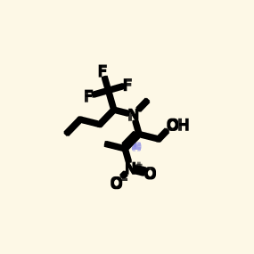 CCCC(N(C)/C(CO)=C(\C)[N+](=O)[O-])C(F)(F)F